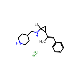 CCC1(NCC2CCNCC2)CC1/C(C)=C/c1ccccc1.Cl.Cl